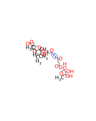 CC1O[C@H](COC(=O)CCC(=O)N2CCN(C(=O)CCC(=O)O[C@@H]3[C@@](C)(O)[C@@H](C)[C@@H]4O[C@@]45[C@@]4(C)CCC6=C(COC6=O)C4CO[C@]35C)CC2)[C@@H](O)[C@H](O)[C@H]1O